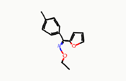 CCO/N=C(/c1ccc(C)cc1)c1ccco1